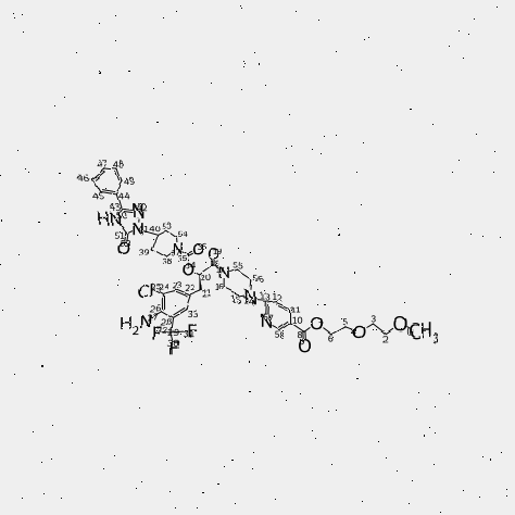 COCCOCCOC(=O)c1ccc(N2CCN(C(=O)[C@@H](Cc3cc(Cl)c(N)c(C(F)(F)F)c3)OC(=O)N3CCC(n4nc(-c5ccccc5)[nH]c4=O)CC3)CC2)nc1